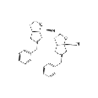 N#CC12CN(Cc3ccccc3)CC1CCO2.N#CC12CN(Cc3ccccc3)CC1CCO2